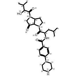 CC(C)CC(NC(=O)c1ccc(N2CCNCC2)cc1)C(=O)N1CCC2C1C(=O)CN2C(=O)C(O)C(C)C